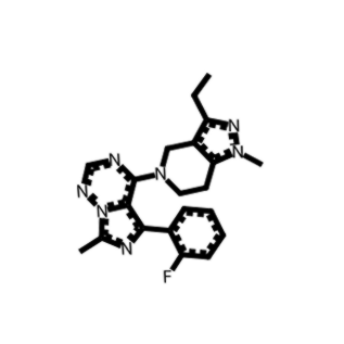 CCc1nn(C)c2c1CN(c1ncnn3c(C)nc(-c4ccccc4F)c13)CC2